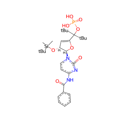 CC(C)(C)C(OP(=O)(O)O)(C1=C[C@@H](O[Si](C)(C)C(C)(C)C)[C@H](n2ccc(NC(=O)c3ccccc3)nc2=O)O1)C(C)(C)C